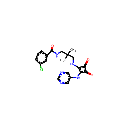 CC(C)(CNC(=O)c1cccc(Cl)c1)CNc1c(Nc2cncnc2)c(=O)c1=O